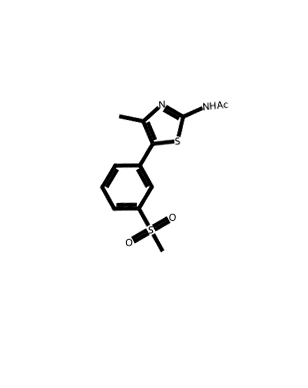 CC(=O)Nc1nc(C)c(-c2cccc(S(C)(=O)=O)c2)s1